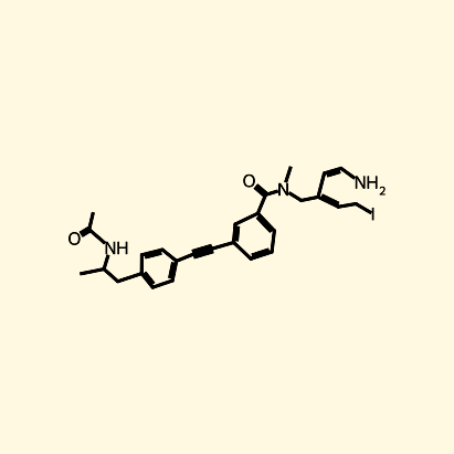 CC(=O)NC(C)Cc1ccc(C#Cc2cccc(C(=O)N(C)CC(/C=C\N)=C/CI)c2)cc1